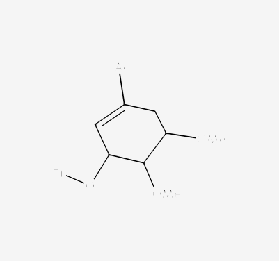 CCOC1C=C(C(C)=O)CC(OC)C1OC